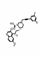 COc1ccc2ncc(Cl)c([C@@H](F)CC[C@H]3CCN(CC#Cc4cc(F)cc(F)c4)C[C@H]3C(=O)O)c2c1